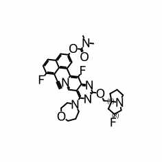 C#Cc1c(F)ccc2cc(OC(=O)N(C)C)cc(-c3ncc4c(N5CCCOCC5)nc(OC[C@@]56CCCN5C[C@H](F)C6)nc4c3F)c12